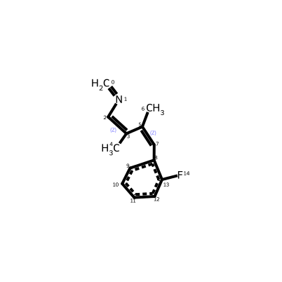 C=N/C=C(C)\C(C)=C/c1ccccc1F